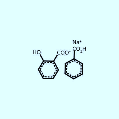 O=C(O)c1ccccc1.O=C([O-])c1ccccc1O.[Na+]